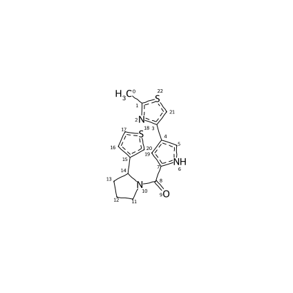 Cc1nc(-c2c[nH]c(C(=O)N3CCCC3c3ccsc3)c2)cs1